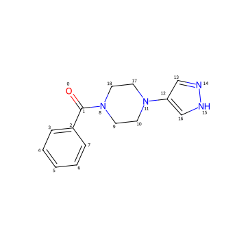 O=C(c1ccccc1)N1CCN(c2cn[nH]c2)CC1